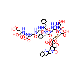 CC[C@@]1(OC(=O)OCCSSC[C@H](NC(=O)[C@H](CC(=O)O)NC(=O)[C@@H](N)CNC(=O)[C@H](Cc2ccccc2)NC(=O)[C@H](Cc2ccccc2)NC(=O)CCNC(=O)CC[C@H](NC(=O)N[C@@H](CCC(=O)O)C(=O)O)C(=O)O)C(=O)O)C(=O)OCc2c1cc1n(c2=O)Cc2cc3ccccc3nc2-1